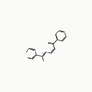 C=C(/C=C\C=C(/C)C(=CC)/C=C\C)c1ccccc1